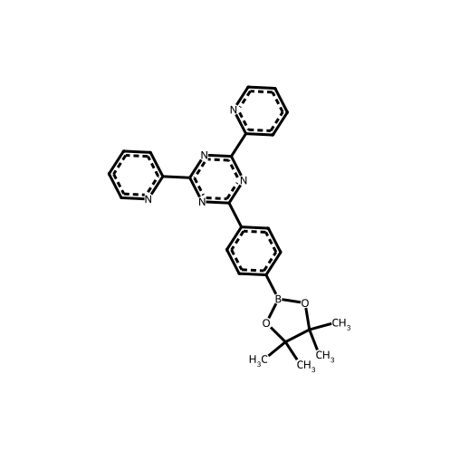 CC1(C)OB(c2ccc(-c3nc(-c4ccccn4)nc(-c4ccccn4)n3)cc2)OC1(C)C